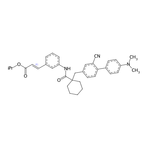 CC(C)OC(=O)/C=C/c1cccc(NC(=O)C2(Cc3ccc(-c4ccc(N(C)C)cc4)c(C#N)c3)CCCCC2)c1